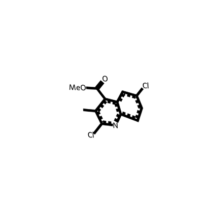 COC(=O)c1c(C)c(Cl)nc2ccc(Cl)cc12